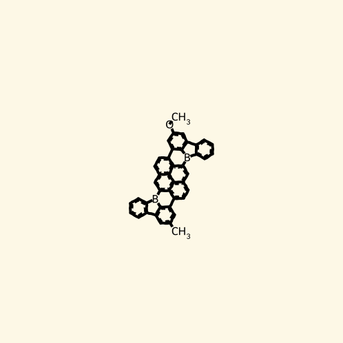 COc1cc2c3c(c1)-c1ccc4cc5c6c(ccc7cc(c1c4c76)B3c1ccccc1-2)-c1cc(C)cc2c1B5c1ccccc1-2